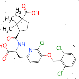 CC1(C)[C@H](C(=O)N[C@@H](Cc2ccc(OCc3c(Cl)cccc3Cl)c(Cl)n2)C(=O)O)CC[C@@]1(C)C(=O)O